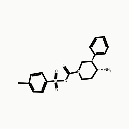 Cc1ccc(S(=O)(=O)OC(=O)N2CC[C@@H](N)[C@H](c3ccccc3)C2)cc1